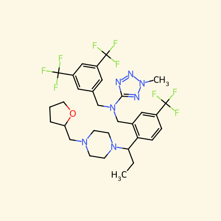 CCC(c1ccc(C(F)(F)F)cc1CN(Cc1cc(C(F)(F)F)cc(C(F)(F)F)c1)c1nnn(C)n1)N1CCN(CC2CCCO2)CC1